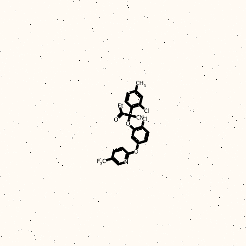 CCC(=O)C(C#N)(Oc1cc(Oc2ccc(C(F)(F)F)cn2)ccc1Cl)c1ccc(C)cc1Cl